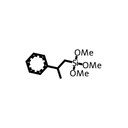 CO[Si](CC(C)c1ccccc1)(OC)OC